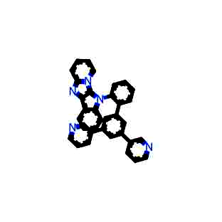 c1cncc(-c2cc(-c3cccnc3)cc(-c3ccccc3-n3c4ccccc4c4nc5ccccn5c43)c2)c1